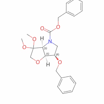 COC1(OC)CO[C@H]2[C@@H]1N(C(=O)OCc1ccccc1)C[C@H]2OCc1ccccc1